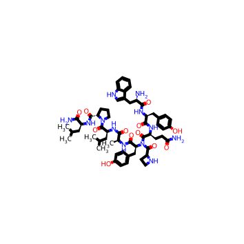 CC(C)C[C@H](NC(=O)[C@@H]1CCCN1C(=O)[C@H](CC(C)C)NC(=O)[C@H](C)NC(=O)[C@H](Cc1ccc(O)cc1)N(C(=O)C1CCN1)C(=O)[C@H](CCC(N)=O)NC(=O)[C@H](Cc1ccc(O)cc1)NC(=O)[C@@H](N)Cc1c[nH]c2ccccc12)C(N)=O